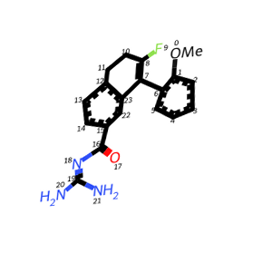 COc1ccccc1C1=C(F)CCc2ccc(C(=O)N=C(N)N)cc21